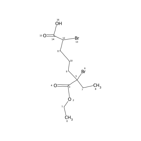 CCOC(=O)C(Br)(CC)CCCC(Br)C(=O)O